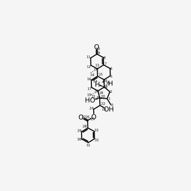 CC1C[C@H]2[C@@H]3CCC4=CC(=O)CC[C@]4(C)C3=CC[C@]2(C)[C@@]1(O)C(O)COC(=O)c1ccccc1